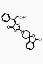 O=C1N=C(N2CCC3(CC2)OC(=O)c2ccccc23)S/C1=C(\CO)c1ccccc1